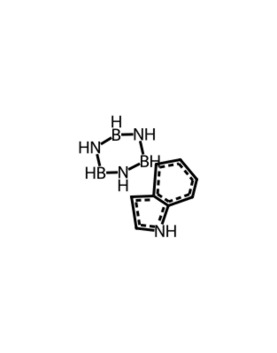 B1NBNBN1.c1ccc2[nH]ccc2c1